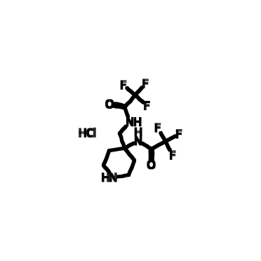 Cl.O=C(NCC1(NC(=O)C(F)(F)F)CCNCC1)C(F)(F)F